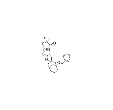 COCOC1(CCCNC(=O)C(F)(F)F)CC2CCCC(OCc3ccccc3)(C2)C1